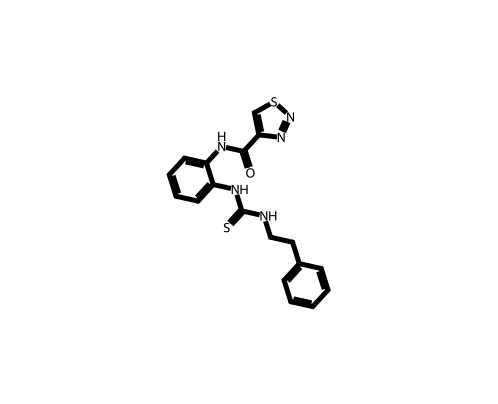 O=C(Nc1ccccc1NC(=S)NCCc1ccccc1)c1csnn1